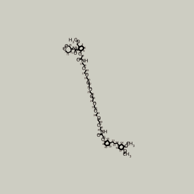 COCc1cccc(OCC(=O)NCCOCCOCCOCCOCCOCCOCCOCCOCCOCCNC(=O)COc2cccc(CCCc3ccc(OC)c(OC)c3)c2)c1C(=O)NC1CCCOOC1